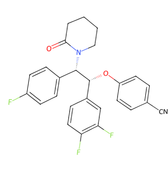 N#Cc1ccc(O[C@H](c2ccc(F)c(F)c2)[C@H](c2ccc(F)cc2)N2CCCCC2=O)cc1